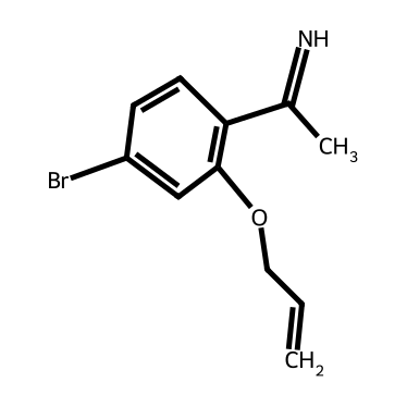 C=CCOc1cc(Br)ccc1C(C)=N